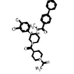 CC(=O)N1CCC(C(=O)N2CC[C@@H](N(C)C(=O)c3ccc(-c4ccccc4)cc3)[C@H](c3ccc(Cl)c(Cl)c3)C2)CC1